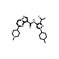 CC1CCC(n2cc(NC(=O)c3cnn4ccc(C5CCN(C)CC5)nc34)c(C(F)F)n2)CC1